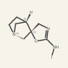 INC1=NC[C@]2(C[N@]3CC[C@H]2C3)O1